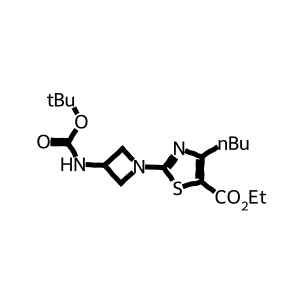 CCCCc1nc(N2CC(NC(=O)OC(C)(C)C)C2)sc1C(=O)OCC